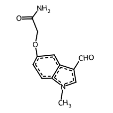 Cn1cc(C=O)c2cc(OCC(N)=O)ccc21